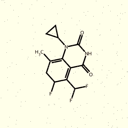 CC1=c2c(c(=O)[nH]c(=O)n2C2CC2)=C(C(F)F)C(F)C1